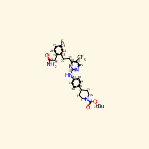 CC(C)(C)OC(=O)N1CCC(c2ccc(Nc3ncc(C(F)(F)F)c(CCc4cc(F)ccc4CC(N)=O)n3)cc2)CC1